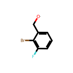 [O]Cc1cccc(F)c1Br